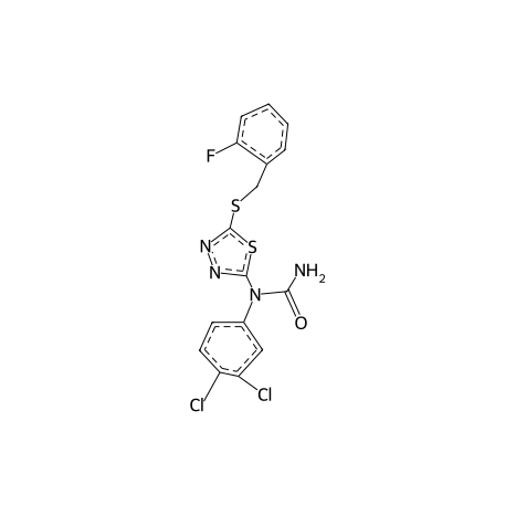 NC(=O)N(c1ccc(Cl)c(Cl)c1)c1nnc(SCc2ccccc2F)s1